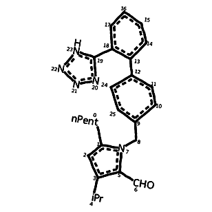 CCCCCc1cc(C(C)C)c(C=O)n1Cc1ccc(-c2ccccc2-c2nnn[nH]2)cc1